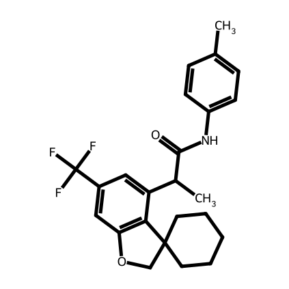 Cc1ccc(NC(=O)C(C)c2cc(C(F)(F)F)cc3c2C2(CCCCC2)CO3)cc1